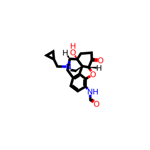 O=CNc1ccc2c3c1O[C@H]1C(=O)CC[C@@]4(O)[C@@H](C2)N(CC2CC2)CC[C@]314